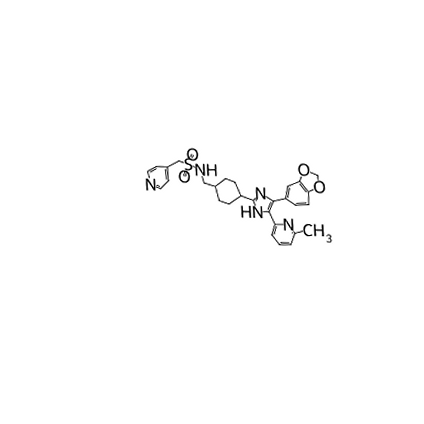 Cc1cccc(-c2[nH]c(C3CCC(CNS(=O)(=O)Cc4ccncc4)CC3)nc2-c2ccc3c(c2)OCO3)n1